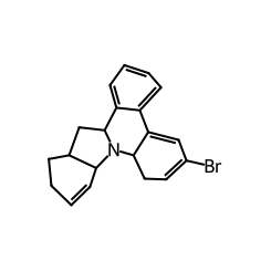 BrC1=CCC2C(=C1)c1ccccc1C1CC3CCC=CC3N21